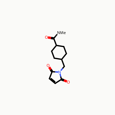 CNC(=O)C1CCC(CN2C(=O)C=CC2=O)CC1